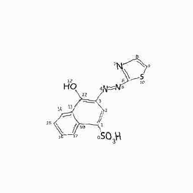 O=S(=O)(O)c1cc(N=Nc2nccs2)c(O)c2ccccc12